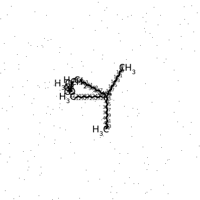 C=C(C)CS(=O)(=O)[O-].CCCCCCCCCCCC[P+](CCCCCCCCCCCC)(CCCCCCCCCCCC)CCCCCCCCCCCC